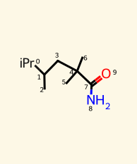 CC(C)C(C)CC(C)(C)C(N)=O